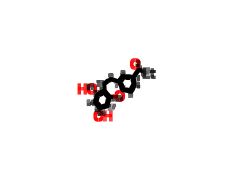 CCC(=O)c1ccc2c(c1)CCc1c(O)cc(O)cc1O2